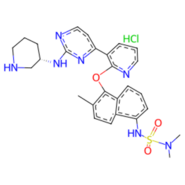 Cc1ccc2c(NS(=O)(=O)N(C)C)cccc2c1Oc1ncccc1-c1ccnc(N[C@H]2CCCNC2)n1.Cl